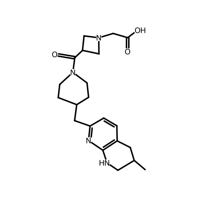 CC1CNc2nc(CC3CCN(C(=O)C4CN(CC(=O)O)C4)CC3)ccc2C1